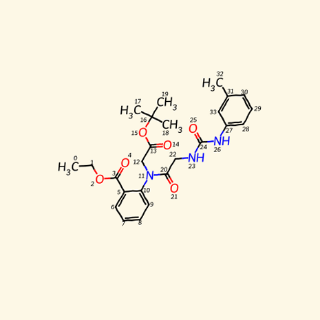 CCOC(=O)c1ccccc1N(CC(=O)OC(C)(C)C)C(=O)CNC(=O)Nc1cccc(C)c1